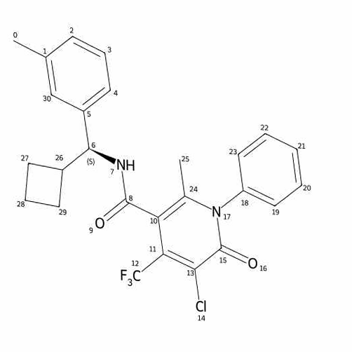 Cc1cccc([C@@H](NC(=O)c2c(C(F)(F)F)c(Cl)c(=O)n(-c3ccccc3)c2C)C2CCC2)c1